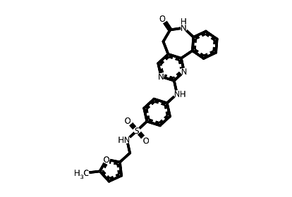 Cc1ccc(CNS(=O)(=O)c2ccc(Nc3ncc4c(n3)-c3ccccc3NC(=O)C4)cc2)o1